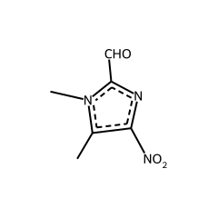 Cc1c([N+](=O)[O-])nc(C=O)n1C